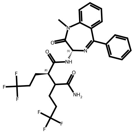 CN1C(=O)[C@@H](NC(=O)[C@H](CCC(F)(F)F)C(CCC(F)(F)F)C(N)=O)N=C(c2ccccc2)c2ccccc21